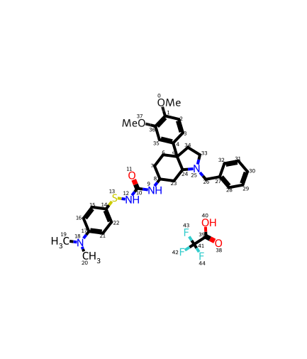 COc1ccc(C23CCC(NC(=O)NSc4ccc(N(C)C)cc4)CC2N(Cc2ccccc2)CC3)cc1OC.O=C(O)C(F)(F)F